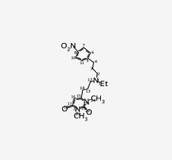 CCN(CCCc1ccc([N+](=O)[O-])cc1)CCCc1cc(=O)n(C)c(=O)n1C